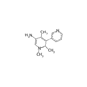 CC1=C(c2cccnc2)C(C)N(C)C=C1N